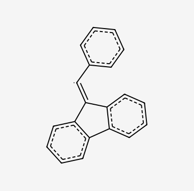 [C](=C1c2ccccc2-c2ccccc21)c1ccccc1